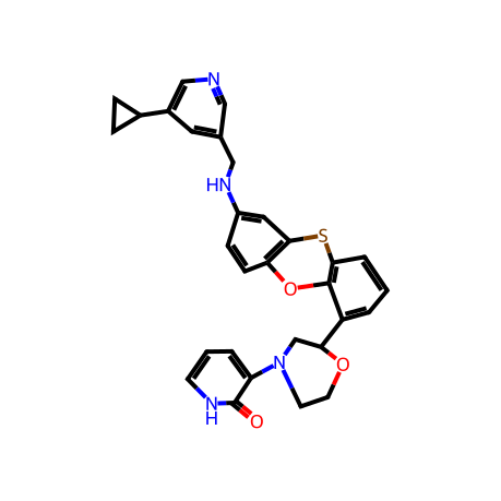 O=c1[nH]cccc1N1CCOC(c2cccc3c2Oc2ccc(NCc4cncc(C5CC5)c4)cc2S3)C1